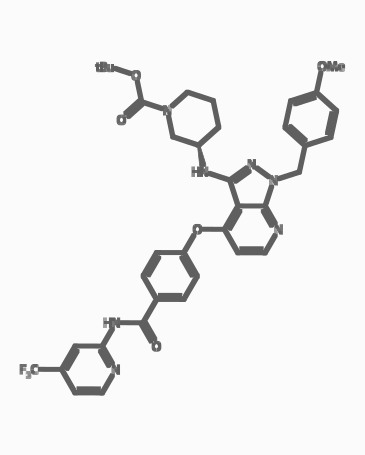 COc1ccc(Cn2nc(N[C@@H]3CCCN(C(=O)OC(C)(C)C)C3)c3c(Oc4ccc(C(=O)Nc5cc(C(F)(F)F)ccn5)cc4)ccnc32)cc1